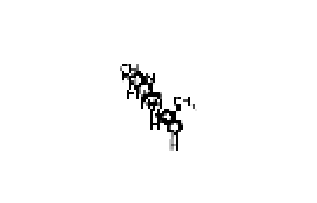 C=Nc1cccc(Nc2nc(Nc3cc(CC)c4c(c3)CNCC4)ncc2C#N)n1